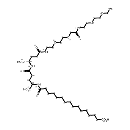 CC(=O)COCCOCCNC(=O)COCCOCCNC(=O)CC[C@H](NC(=O)CCC(NC(=O)CCCCCCCCCCCCCCC(=O)O)C(=O)O)C(=O)O